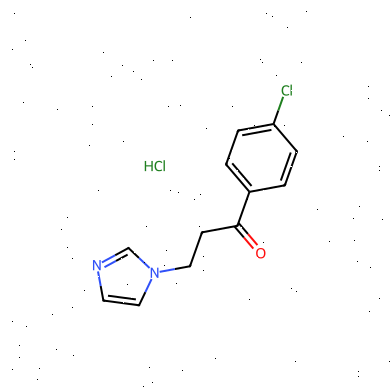 Cl.O=C(CCn1ccnc1)c1ccc(Cl)cc1